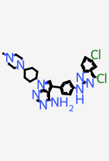 CN1CCN([C@H]2CC[C@@H](n3cc(-c4ccc(Nc5nc(Cl)c6cc(Cl)ccc6n5)cc4)c4c(N)ncnc43)CC2)CC1